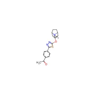 CC(=O)c1ccc(-c2nnc(OC3CC4CCC(C3)N4C)s2)cc1